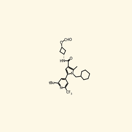 Cc1c(C(=O)N[C@H]2C[C@H](OC=O)C2)cc(-c2cc(C(C)(C)C)nc(C(F)(F)F)c2)n1CC1CCCCC1